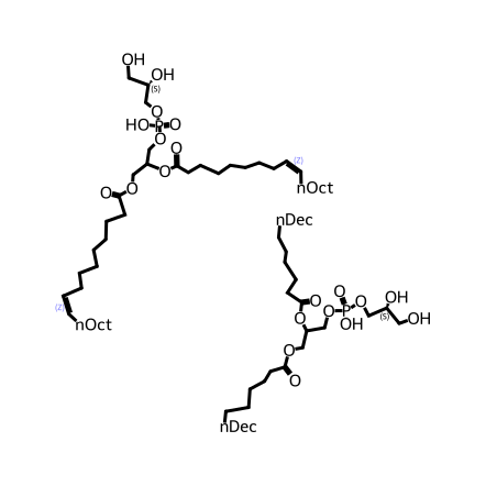 CCCCCCCC/C=C\CCCCCCCC(=O)OCC(COP(=O)(O)OC[C@@H](O)CO)OC(=O)CCCCCCC/C=C\CCCCCCCC.CCCCCCCCCCCCCCCC(=O)OCC(COP(=O)(O)OC[C@@H](O)CO)OC(=O)CCCCCCCCCCCCCCC